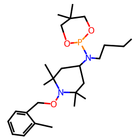 CCCCN(C1CC(C)(C)N(OCc2ccccc2C)C(C)(C)C1)P1OCC(C)(C)CO1